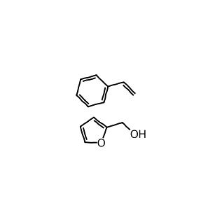 C=Cc1ccccc1.OCc1ccco1